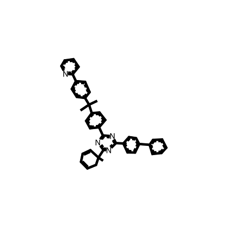 CC1(c2nc(-c3ccc(-c4ccccc4)cc3)nc(-c3ccc(C(C)(C)c4ccc(-c5ccccn5)cc4)cc3)n2)C=CC=CC1